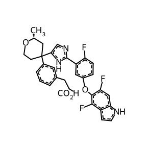 C[C@H]1CC(c2cccc(CCC(=O)O)c2)(c2cnc(-c3cc(Oc4c(F)cc5[nH]ccc5c4F)ccc3F)[nH]2)CCO1